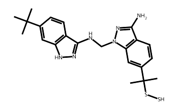 CC(C)(C)c1ccc2c(NCn3nc(N)c4ccc(C(C)(C)SS)cc43)n[nH]c2c1